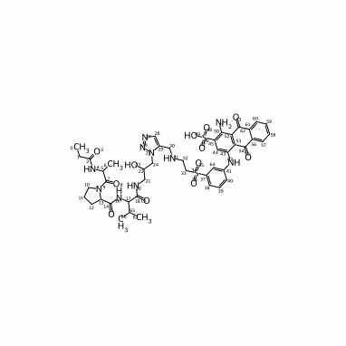 CCC(=O)NC(C)C(=O)N1CCCC1C(=O)NC(C(=O)NCC(O)Cn1nncc1CNCCS(=O)(=O)c1cccc(Nc2cc(S(=O)(=O)O)c(N)c3c2C(=O)c2ccccc2C3=O)c1)C(C)C